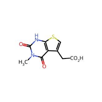 Cn1c(=O)[nH]c2scc(CC(=O)O)c2c1=O